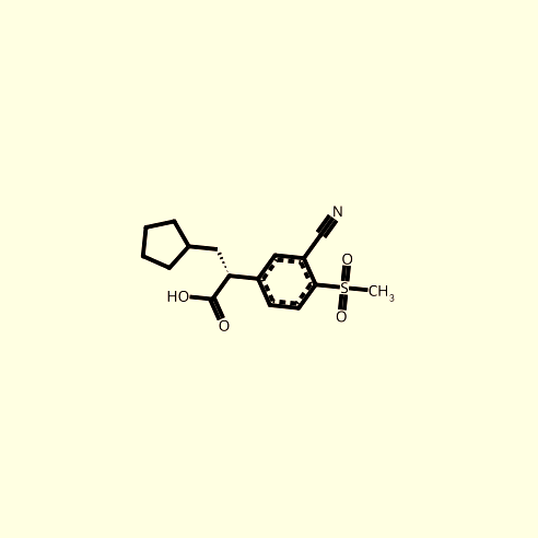 CS(=O)(=O)c1ccc([C@@H](CC2CCCC2)C(=O)O)cc1C#N